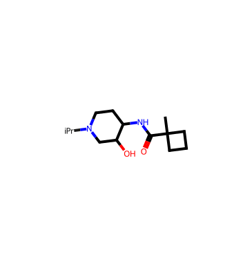 CC(C)N1CCC(NC(=O)C2(C)CCC2)C(O)C1